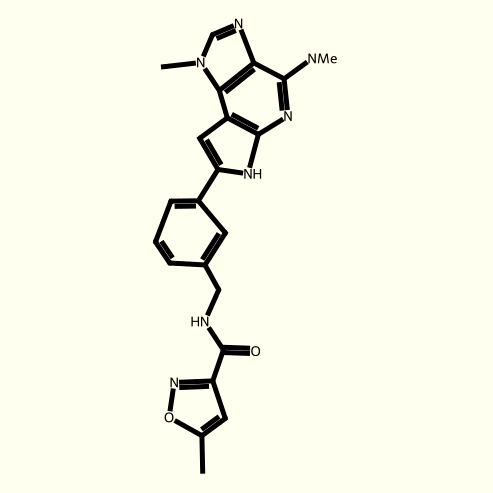 CNc1nc2[nH]c(-c3cccc(CNC(=O)c4cc(C)on4)c3)cc2c2c1ncn2C